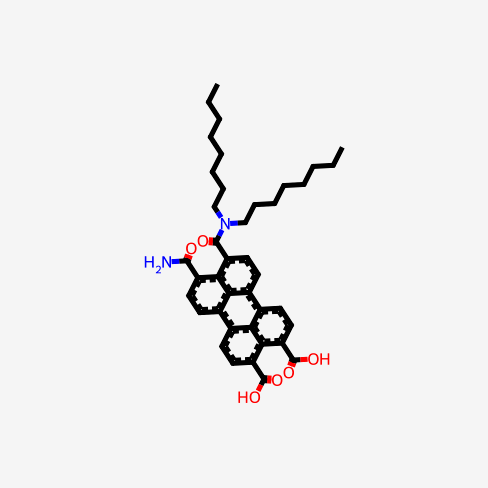 CCCCCCCCN(CCCCCCCC)C(=O)c1ccc2c3ccc(C(=O)O)c4c(C(=O)O)ccc(c5ccc(C(N)=O)c1c52)c43